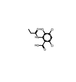 CCC(=O)Nc1c(O)c(Cl)cc(Cl)c1C(=O)O